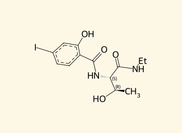 CCNC(=O)[C@@H](NC(=O)c1ccc(I)cc1O)[C@@H](C)O